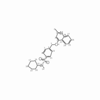 Cc1cc(OCc2ccc(S(=O)(=O)N(C)C3CCCCC3)cc2)c2ccccc2n1